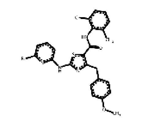 COc1ccc(Cc2nc(Nc3cccc(Br)n3)sc2C(=O)Nc2c(C)cccc2Cl)cc1